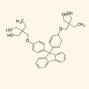 CCC(CO)(CO)COc1ccc(C2(C3=CCC(OCC(CC)(CO)CO)C=C3)c3ccccc3-c3ccccc32)cc1